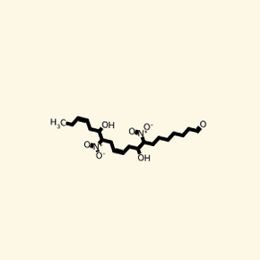 CC/C=C\CC(O)C(C/C=C\CC(O)C(CCCCCC[C]=O)[N+](=O)[O-])[N+](=O)[O-]